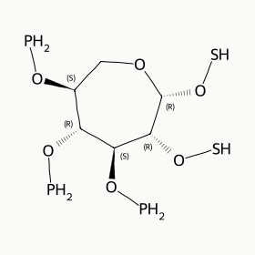 PO[C@@H]1[C@@H](OS)[C@@H](OS)OC[C@H](OP)[C@H]1OP